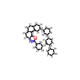 c1ccc(-c2ccc(-c3cccc(-c4ccc5ccc6ccc7nc(-c8ccccc8)oc7c6c5c4)c3)cc2)cc1